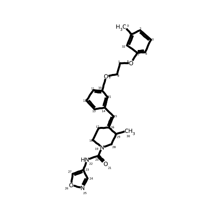 Cc1cccc(OCCOc2cccc(/C=C3\CCN(C(=O)Nc4cnoc4)CC3C)c2)c1